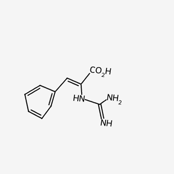 N=C(N)NC(=Cc1ccccc1)C(=O)O